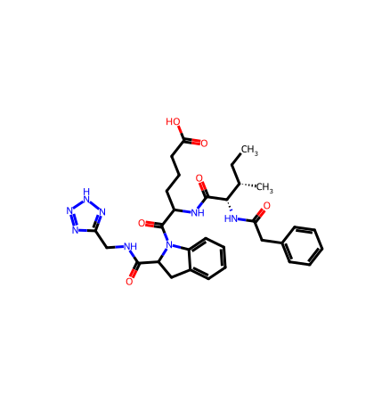 CC[C@H](C)[C@H](NC(=O)Cc1ccccc1)C(=O)NC(CCCC(=O)O)C(=O)N1c2ccccc2CC1C(=O)NCc1nn[nH]n1